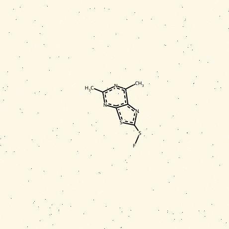 Cc1nc(C)c2nc(SF)sc2n1